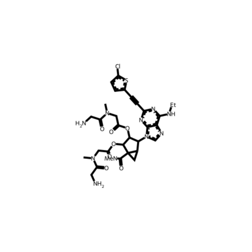 CCNc1nc(C#Cc2ccc(Cl)s2)nc2c1ncn2C1C(OC(=O)CN(C)C(=O)CN)C(OC(=O)CN(C)C(=O)CN)C2(C(=O)NC)CC12